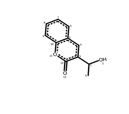 CC(O)c1cc2ccccc2oc1=O